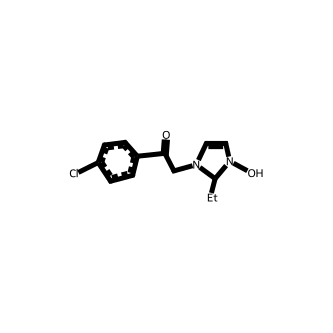 CCC1N(O)C=CN1CC(=O)c1ccc(Cl)cc1